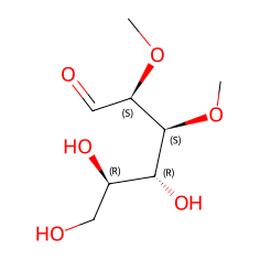 CO[C@@H]([C@H](O)[C@H](O)CO)[C@@H](C=O)OC